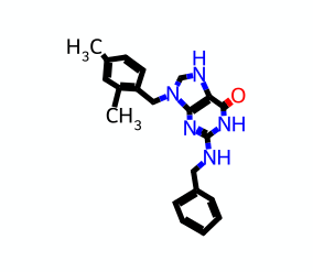 Cc1ccc(CN2CNc3c2nc(NCc2ccccc2)[nH]c3=O)c(C)c1